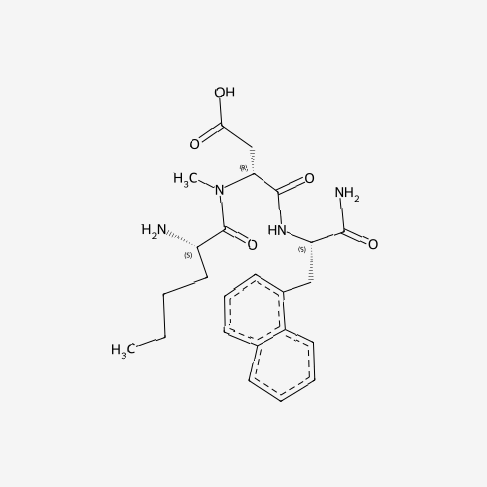 CCCC[C@H](N)C(=O)N(C)[C@H](CC(=O)O)C(=O)N[C@@H](Cc1cccc2ccccc12)C(N)=O